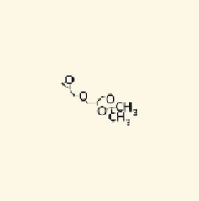 CC1(C)OCC(COCC2CO2)O1